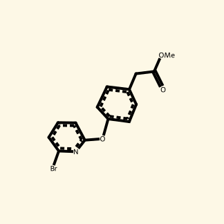 COC(=O)Cc1ccc(Oc2cccc(Br)n2)cc1